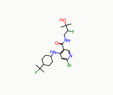 CC(C)(O)C(F)CNC(=O)c1cnc(Br)cc1NC1CCC(C(C)(C)F)CC1